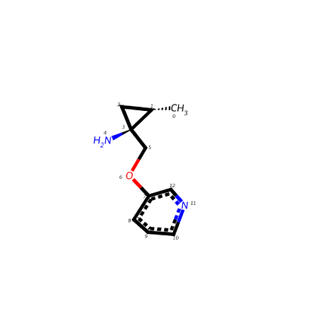 C[C@H]1C[C@@]1(N)COc1cccnc1